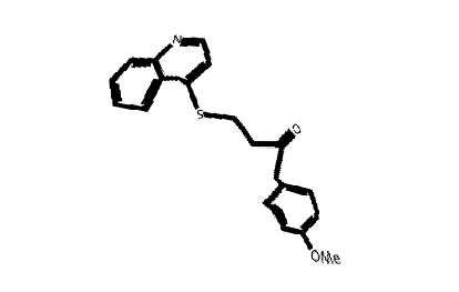 COc1ccc(C(=O)CCSc2ccnc3ccccc23)cc1